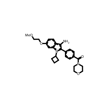 COCCOc1ccc2c(N)c(-c3ccc(C(=O)N4CCOCC4)cc3)n(C3CCC3)c2c1